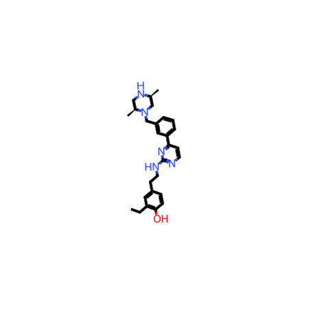 CCc1cc(CCNc2nccc(-c3cccc(CN4C[C@H](C)NC[C@@H]4C)c3)n2)ccc1O